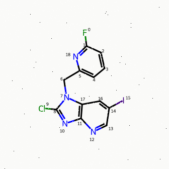 Fc1cccc(Cn2c(Cl)nc3ncc(I)cc32)n1